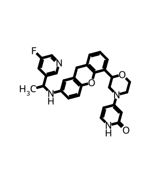 CC(Nc1ccc2c(c1)Cc1cccc(C3CN(c4cc[nH]c(=O)c4)CCO3)c1O2)c1cncc(F)c1